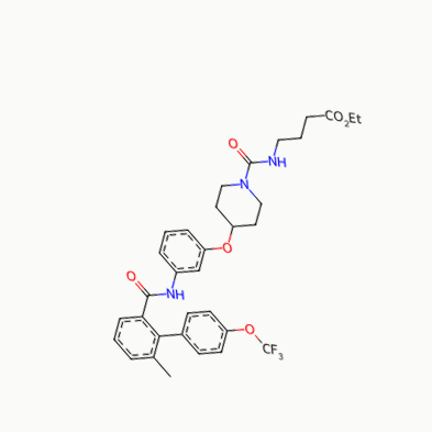 CCOC(=O)CCCNC(=O)N1CCC(Oc2cccc(NC(=O)c3cccc(C)c3-c3ccc(OC(F)(F)F)cc3)c2)CC1